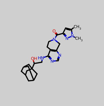 Cc1cc(C(=O)N2CCc3c(ncnc3NCC(O)C34CC5CC(CC(C5)C3)C4)C2)nn1C